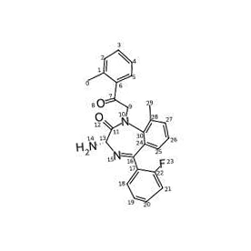 Cc1ccccc1C(=O)CN1C(=O)[C@@H](N)N=C(c2ccccc2F)c2cccc(C)c21